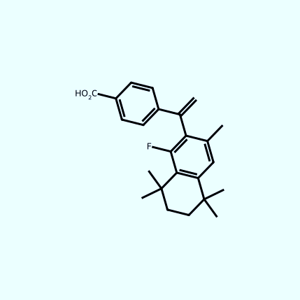 C=C(c1ccc(C(=O)O)cc1)c1c(C)cc2c(c1F)C(C)(C)CCC2(C)C